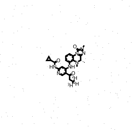 [2H]C([2H])([2H])CC(=O)c1cnc(NC(=O)C2CC2)cc1Nc1cccc2c1N(C)[C@@H](C)c1nn(C)c(=O)n1-2